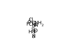 Nc1ncc(-c2cccc(C(=O)NCCCN3CCCC3)c2)nc1OCCc1c(Cl)ccc(F)c1Cl